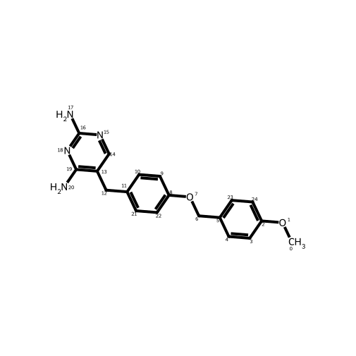 COc1ccc(COc2ccc(Cc3cnc(N)nc3N)cc2)cc1